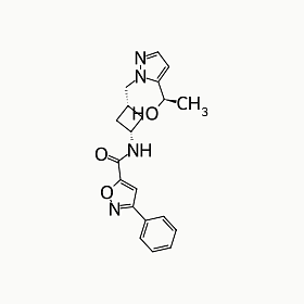 C[C@@H](O)c1ccnn1C[C@H]1C[C@@H](NC(=O)c2cc(-c3ccccc3)no2)C1